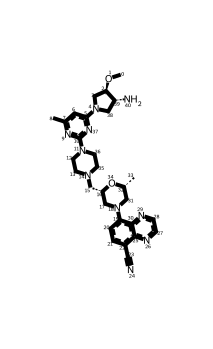 CO[C@@H]1CN(c2cc(C)nc(N3CCN(C[C@H]4CN(c5ccc(C#N)c6nccnc56)C[C@@H](C)O4)CC3)n2)C[C@H]1N